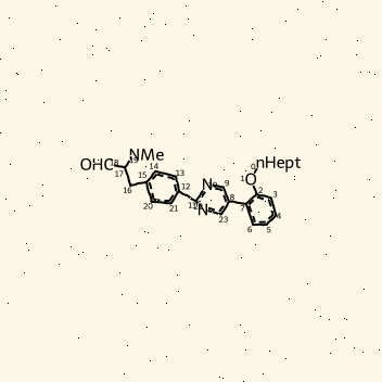 CCCCCCCOc1ccccc1-c1cnc(-c2ccc(CC(C=O)NC)cc2)nc1